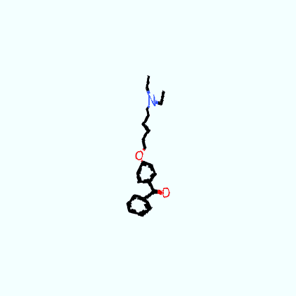 CCN(CC)CCCCCCOc1ccc(C(=O)c2ccccc2)cc1